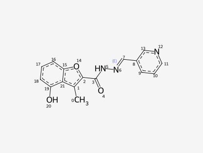 Cc1c(C(=O)N/N=C/c2cccnc2)oc2cccc(O)c12